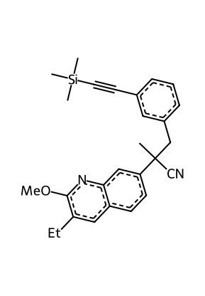 CCc1cc2ccc(C(C)(C#N)Cc3cccc(C#C[Si](C)(C)C)c3)cc2nc1OC